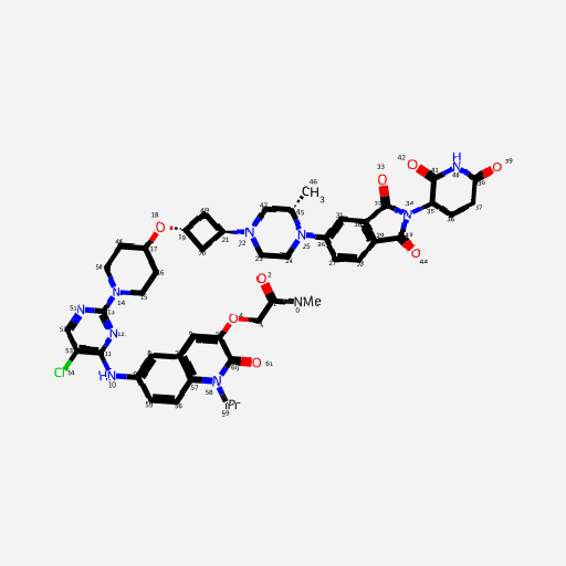 CNC(=O)COc1cc2cc(Nc3nc(N4CCC(O[C@H]5C[C@H](N6CCN(c7ccc8c(c7)C(=O)N(C7CCC(=O)NC7=O)C8=O)[C@@H](C)C6)C5)CC4)ncc3Cl)ccc2n(C(C)C)c1=O